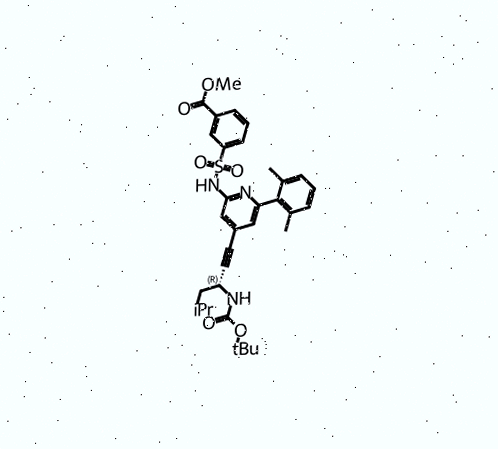 COC(=O)c1cccc(S(=O)(=O)Nc2cc(C#C[C@@H](CC(C)C)NC(=O)OC(C)(C)C)cc(-c3c(C)cccc3C)n2)c1